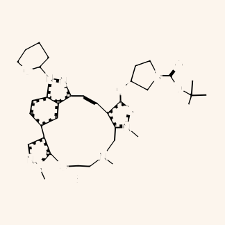 C[C@H]1CN(C)Cc2c(c(O[C@H]3CCN(C(=O)OC(C)(C)C)C3)nn2C)/C=C/c2nn(C3CCCCO3)c3ccc(cc23)-c2cnn(C)c2O1